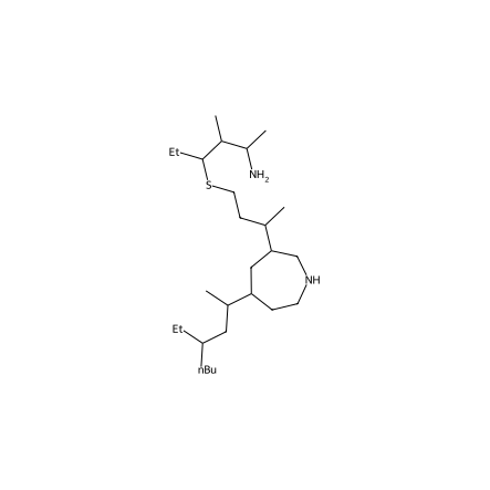 CCCCC(CC)CC(C)C1CCNCC(C(C)CCSC(CC)C(C)C(C)N)C1